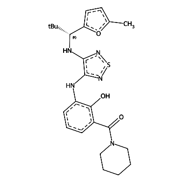 Cc1ccc([C@H](Nc2nsnc2Nc2cccc(C(=O)N3CCCCC3)c2O)C(C)(C)C)o1